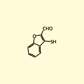 O=Cc1oc2ccccc2c1S